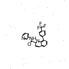 O=C(Nc1cccnc1)c1ccc2cccc(-c3ccc(C(F)(F)F)cc3)c2n1